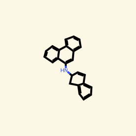 C1=CC(Nc2cc3ccccc3c3ccccc23)Cc2ccccc21